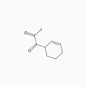 O=C(I)C(=O)C1C=CCCC1